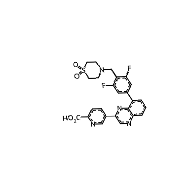 O=C(O)c1ccc(-c2cnc3cccc(-c4cc(F)c(CN5CCS(=O)(=O)CC5)c(F)c4)c3n2)cn1